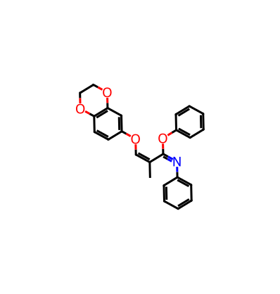 CC(=COc1ccc2c(c1)OCCO2)C(=Nc1ccccc1)Oc1ccccc1